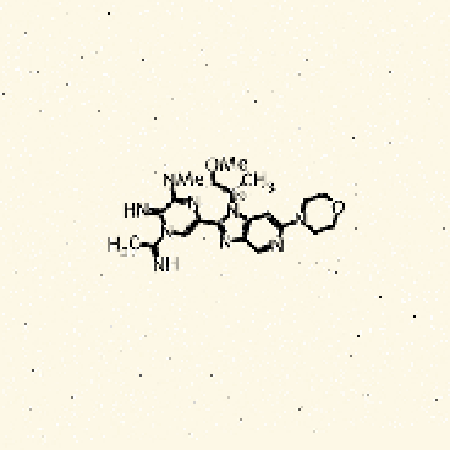 CNc1nc(-c2nc3cnc(N4CCOCC4)cc3n2[C@@H](C)COC)cn(C(C)=N)c1=N